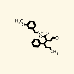 CCCC(c1ccccc1)C(CC=O)C(=O)ONCc1cccc(OC)c1